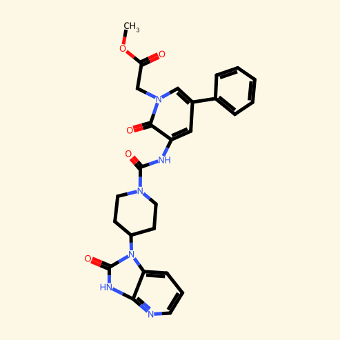 COC(=O)Cn1cc(-c2ccccc2)cc(NC(=O)N2CCC(n3c(=O)[nH]c4ncccc43)CC2)c1=O